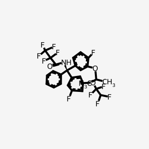 CC(C)Oc1cc([C@@](NC(=O)C(F)(F)C(F)(F)F)(c2ccccc2)c2cc(F)cc(OC(F)(F)C(F)F)c2)ccc1F